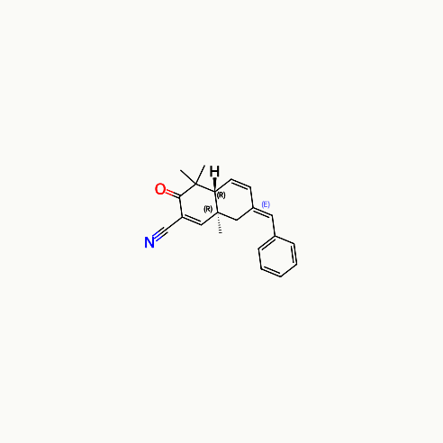 CC1(C)C(=O)C(C#N)=C[C@]2(C)C/C(=C\c3ccccc3)C=C[C@@H]12